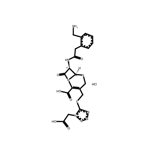 Cl.NCc1ccccc1CC(=O)N[C@@H]1C(=O)N2C(C(=O)O)=C(CSc3nnnn3CC(=O)O)CS[C@H]12